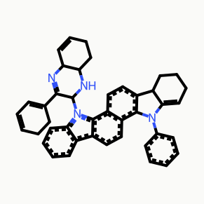 C1=CCCC(C2=NC3C=CCCC3NC2n2c3ccccc3c3ccc4c5c(ccc4c32)C2CCCC=C2N5c2ccccc2)=C1